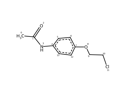 CC(=O)Nc1ccc(OCCCl)cc1